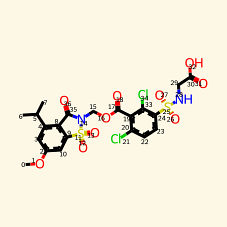 COc1cc(C(C)C)c2c(c1)S(=O)(=O)N(COC(=O)c1c(Cl)ccc(S(=O)(=O)NCC(=O)O)c1Cl)C2=O